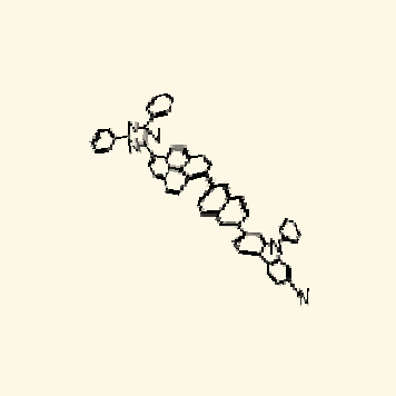 N#Cc1ccc2c3ccc(-c4ccc5cc(-c6ccc7ccc8c(-c9nc(-c%10ccccc%10)nc(-c%10ccccc%10)n9)ccc9ccc6c7c98)ccc5c4)cc3n(-c3ccccc3)c2c1